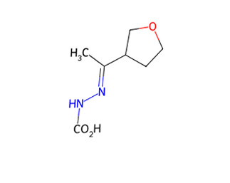 CC(=NNC(=O)O)C1CCOC1